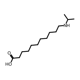 CC(C)NCCCCCCCCCCC(=O)O